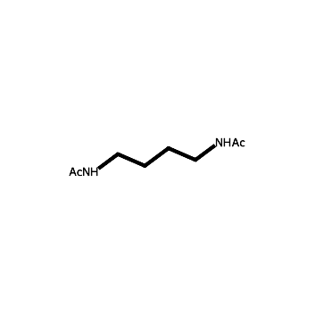 CC(=O)NCCCCNC(C)=O